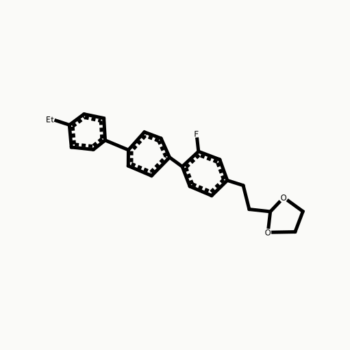 CCc1ccc(-c2ccc(-c3ccc(CCC4OCCO4)cc3F)cc2)cc1